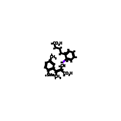 CSc1ccc(C)cc1/C(C)=C(\C#N)C(=O)O.O=C(O)CCCc1ccccc1I